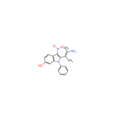 CC(N)=C(C)c1c([N+](=O)[O-])c2ccc(O)cc2n1-c1ccccc1